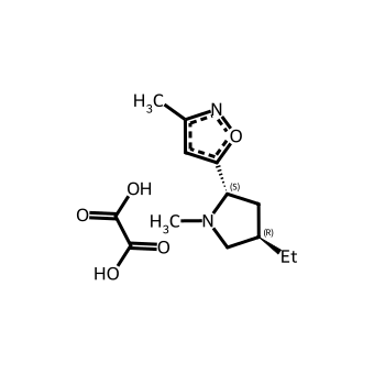 CC[C@@H]1C[C@@H](c2cc(C)no2)N(C)C1.O=C(O)C(=O)O